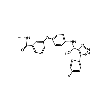 CNC(=O)c1cc(Oc2ccc(NC(O)c3nn[nH]c3-c3ccc(F)cc3)cc2)ccn1